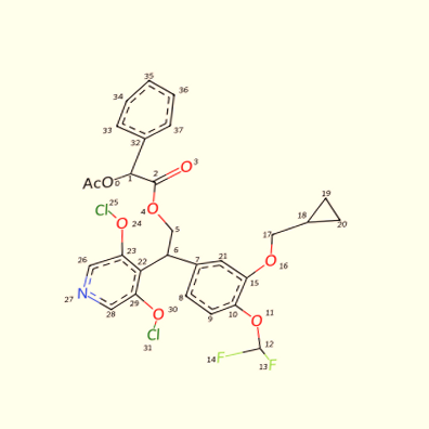 CC(=O)OC(C(=O)OCC(c1ccc(OC(F)F)c(OCC2CC2)c1)c1c(OCl)cncc1OCl)c1ccccc1